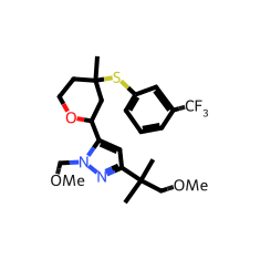 COCn1nc(C(C)(C)COC)cc1C1CC(C)(Sc2cccc(C(F)(F)F)c2)CCO1